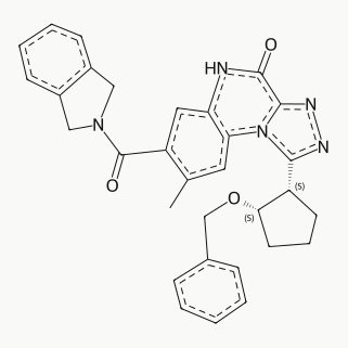 Cc1cc2c(cc1C(=O)N1Cc3ccccc3C1)[nH]c(=O)c1nnc([C@@H]3CCC[C@@H]3OCc3ccccc3)n12